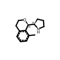 Cc1cccc2c1[C@H]([C@H]1CCCN1)OCC2